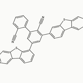 N#Cc1ccccc1-c1cc(-c2cccc3c2sc2ccccc23)cc(-c2ccc3c(c2)sc2ccccc23)c1C#N